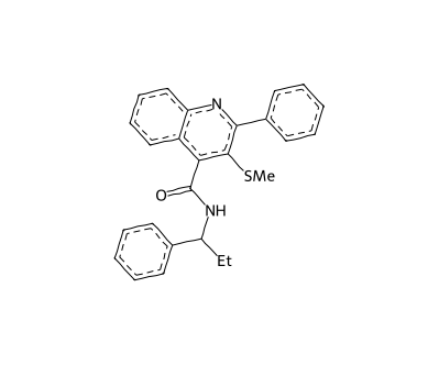 CCC(NC(=O)c1c(SC)c(-c2ccccc2)nc2ccccc12)c1ccccc1